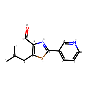 CC(C)Cc1sc(-c2cccnc2)nc1C=O